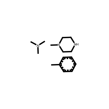 CN1CCNCC1.Cc1ccccc1.[CH3][Al]([CH3])[CH3]